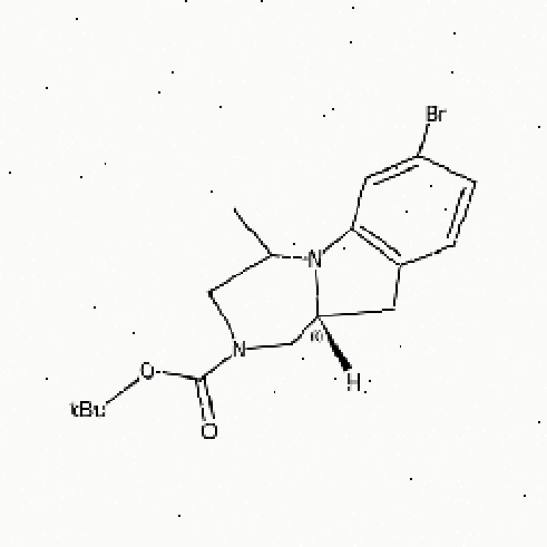 CC1CN(C(=O)OC(C)(C)C)C[C@H]2Cc3ccc(Br)cc3N12